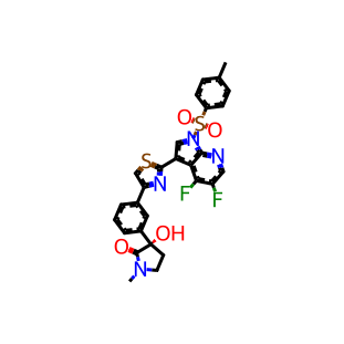 Cc1ccc(S(=O)(=O)n2cc(-c3nc(-c4cccc([C@]5(O)CCN(C)C5=O)c4)cs3)c3c(F)c(F)cnc32)cc1